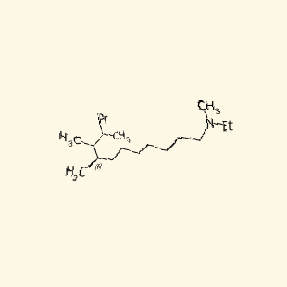 CCN(C)CCCCCCC[C@@H](C)C(C)C(C)C(C)C